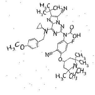 COc1ccc(CN(c2nc(N(C(=O)O)c3cc(C#N)c(OC4CC(C)(C)N(C)C(C)(C)C4)cc3F)nn3c(C#N)c(C(C)(C)C)nc23)C2CC2)cc1